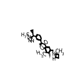 Cc1c(F)c(CNC2(C)CCC2)cc2c(=O)c(-c3cccc(C(c4nncn4C)C4CC4)c3)coc12